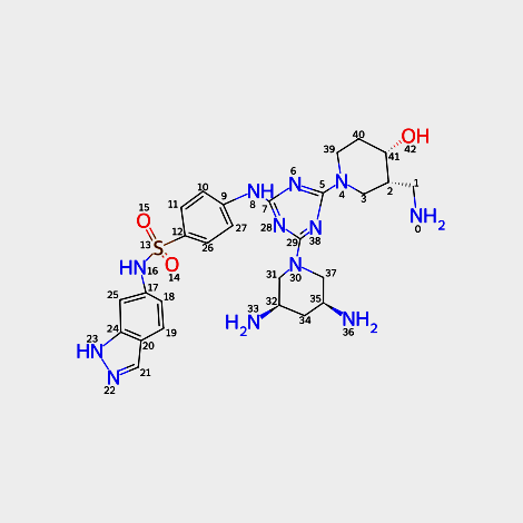 NC[C@@H]1CN(c2nc(Nc3ccc(S(=O)(=O)Nc4ccc5cn[nH]c5c4)cc3)nc(N3C[C@H](N)C[C@H](N)C3)n2)CC[C@@H]1O